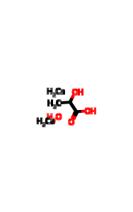 CC(O)C(=O)O.O.[CaH2].[CaH2]